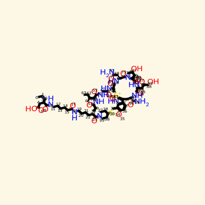 C/C=C\C(CC(=O)O)C(=O)NCCCCCC(=O)NCCCCCC(=O)N1CCC(SCc2c(OC)ccc3c4c([nH]c23)[S+]([O-])C[C@H](NC(=O)CNC(=O)[C@@H](NC(=O)CC)[C@@H](C)CC)C(=O)N[C@@H](CC(N)=O)C(=O)N2C[C@H](O)C[C@H]2C(=O)N[C@@H]([C@@H](C)[C@@H](O)CO)C(=O)N[C@H](C(N)=O)C4)CC1